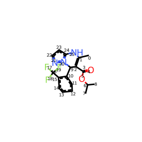 CC1=C(C(=O)OC(C)C)C(c2ccccc2C(F)(F)F)n2nccc2N1